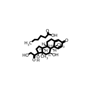 CCCCCC(=O)O.C[C@]12C=CC(=O)C=C1CC[C@@H]1[C@@H]2[C@@H](O)C[C@@]2(C)[C@H]1CC[C@]2(O)C(=O)CO